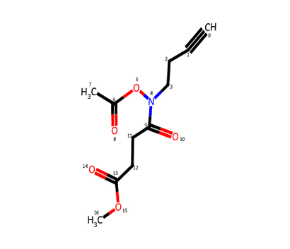 C#CCCN(OC(C)=O)C(=O)CCC(=O)OC